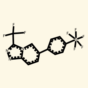 FC(F)(F)c1nnc2ccc(-c3ccc(S(F)(F)(F)(F)F)cc3)cn12